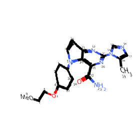 COCCOC1CCC(n2ccc3nc(-n4cncc4C)nc(C(N)=O)c32)CC1